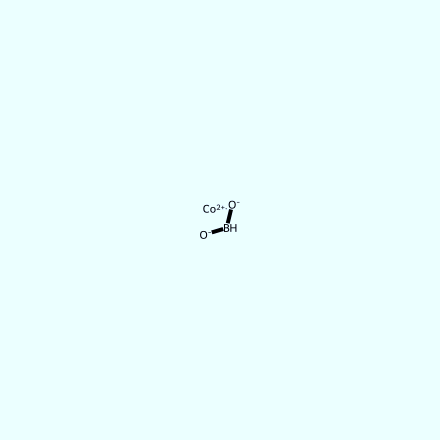 [Co+2].[O-]B[O-]